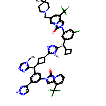 Cn1cnnc1[C@H](c1cc(-c2cn[nH]n2)cc(-n2cc3c(C(F)(F)F)cccn3c2=O)c1)C1CC(c2nnc([C@@H](c3cc(F)cc(-n4cc5c(C(F)(F)F)cc(CN6CCC(C)(F)CC6)cn5c4=O)c3)C3CCC3)n2C)C1